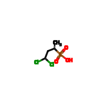 CC(CC(Cl)Cl)S(=O)(=O)O